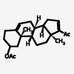 CC(=O)OC1CCC2=CC[C@@H]3[C@H](CC[C@]4(C)C(C(C)=O)=CC[C@@H]34)[C@@]2(C)C1